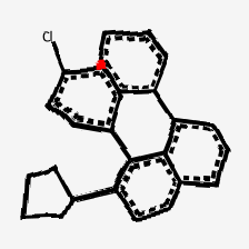 Clc1ccc(-c2c(C3CCCC3)ccc3cccc(-c4ccccc4)c23)cc1